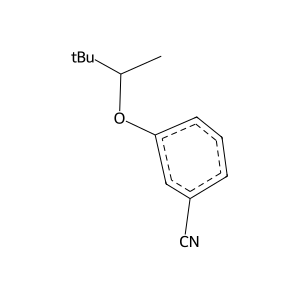 CC(Oc1cccc(C#N)c1)C(C)(C)C